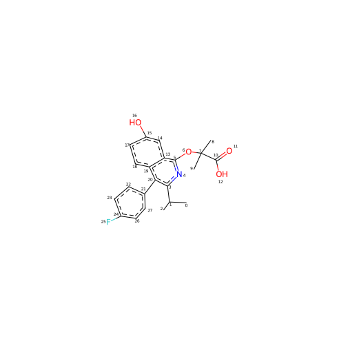 CC(C)c1nc(OC(C)(C)C(=O)O)c2cc(O)ccc2c1-c1ccc(F)cc1